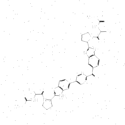 COC(=O)NC(C(=O)N1CCCC1c1nc2cc(C(=O)c3ncc(-c4ccc5nc(C6CCCN6C(=O)C(NC(=O)OC)C(C)C)[nH]c5c4)cn3)ccc2[nH]1)C(C)C